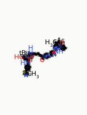 CC(=O)c1c(C)c2cnc(Nc3ccc(N4CCN(C(=O)C#CCCCC(=O)NC(C(=O)N5C[C@H](O)C[C@H]5C(=O)NCc5ccc(-c6scnc6C)cc5)C(C)(C)C)CC4)cn3)nc2n(C2CCCC2)c1=O